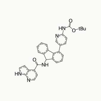 CC(C)(C)OC(=O)Nc1ccc(-c2cccc3c2-c2ccccc2C3NC(=O)c2ccnc3[nH]ccc23)cn1